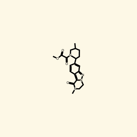 COC(=O)C(=O)N1CC(C)CCC1c1ccc2c3n(nc2c1)CCN(C)C3=O